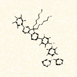 CCCCCCCC1(CCCCCCC)c2cc(-c3c(C)c(C)c(C)c(C)c3C)ccc2-c2ccc(-c3c(C)c(C)c(B(C)c4c(C)c(C)c(N(c5ccccc5)c5ccccc5)c(C)c4C)c(C)c3C)cc21